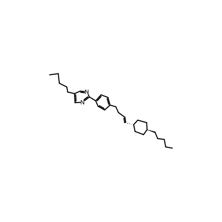 CCCCCc1cnc(-c2ccc(CC/C=C/[C@H]3CC[C@H](CCCCC)CC3)cc2)nc1